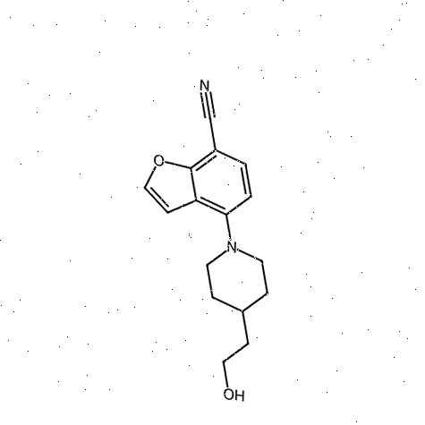 N#Cc1ccc(N2CCC(CCO)CC2)c2ccoc12